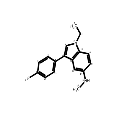 CCn1cc(-c2ccc(F)cc2)c2cc(NC)ccc21